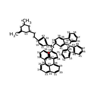 C=C1CC(C)CC(CCc2ccc(N(c3ccc(-c4cccc5cccc(-c6ccccc6)c45)cc3)c3ccc4c(c3)S(c3ccccc3)(c3ccccc3)c3ccccc3-4)cc2)C1